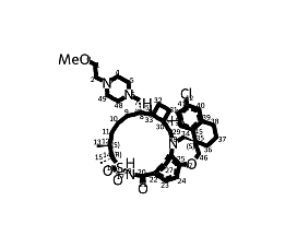 COCCN1CCN(C[C@H]2CCC[C@H](C)[C@@H](C)S(=O)(=O)NC(=O)c3ccc4c(c3)N(C[C@@H]3CC[C@@H]23)C[C@@]2(CCCc3cc(Cl)ccc32)CO4)CC1